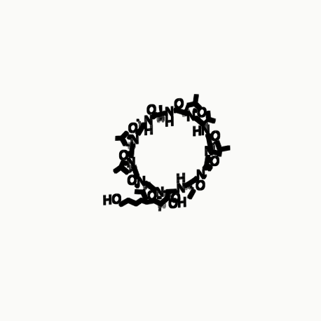 C=C1C(=O)N(C)[C@@H](CC(C)C)C(=O)N[C@H](C(C)C)C(=O)N(C)[C@H](CC(C)C)C(=O)N[C@H](C)C(=O)N[C@@H](C)C(=O)N(C)[C@@H](CC(C)C)C(=O)N(C)[C@@H](CC(C)C)C(=O)N(C)[C@@H](C(C)C)C(=O)N(C)[C@@H]([C@H](O)[C@H](C)CCCCCCO)C(=O)N[C@@H](CC)C(=O)N1C